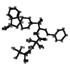 CC(C)(N)C(=O)NC(CCC1CCCCC1)C(=O)N1CCC2(CC1)C[C@@H](O)c1ccccc12.O=C(O)C(F)(F)F